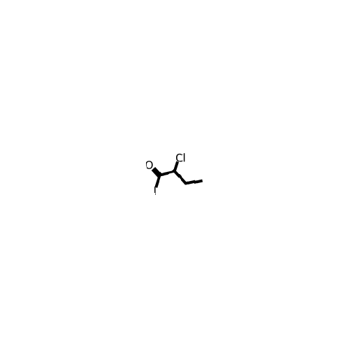 CCC(Cl)C(=O)I